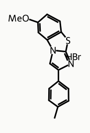 Br.COc1ccc2sc3nc(-c4ccc(C)cc4)cn3c2c1